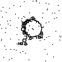 COC1C[C@@H]2CC[C@@H](C)[C@@](O)(O2)C(=O)C(=O)N2CCCC[C@H]2C(=O)O[C@H]([C@H](C)CC2CC[C@@H](O)[C@H](OC)C2)CC(=O)[C@H](C)/C=C(\C)[C@@H](O)[C@@H](C)C(=O)[C@H](C)C[C@H](C)/C=C/C=C/C=C/1C